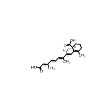 CC1=C(/C=C/C(C)=C/C=C/C(C)=C/C(=O)O)[C@@](C)(C(=O)O)CCC1